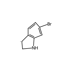 Brc1ccc2c(c1)NC[CH]2